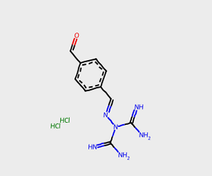 Cl.Cl.N=C(N)N(N=Cc1ccc(C=O)cc1)C(=N)N